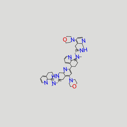 CN(C[C@H]1Cc2c(N3CCOCC3)cc(C3CC[C@H](N(C)C[C@@H]4Cc5c(N6CCOCC6)ccnc5CN4)c4ncccc43)nc2CN1)[C@H]1CCCc2cccnc21